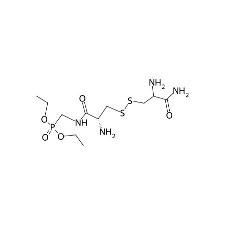 CCOP(=O)(CNC(=O)[C@@H](N)CSSCC(N)C(N)=O)OCC